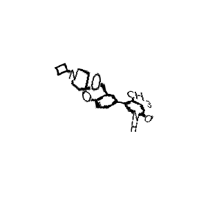 Cc1cc(=O)[nH]cc1-c1ccc2c(c1)COC1(CCN(C3CCC3)CC1)O2